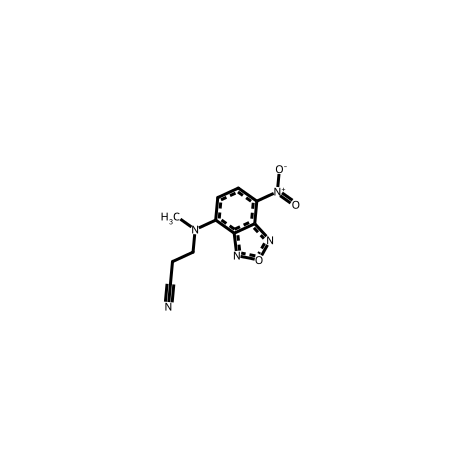 CN(CCC#N)c1ccc([N+](=O)[O-])c2nonc12